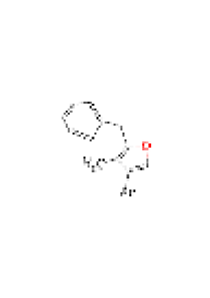 CC(=O)c1coc(Cc2ccccc2)c1C